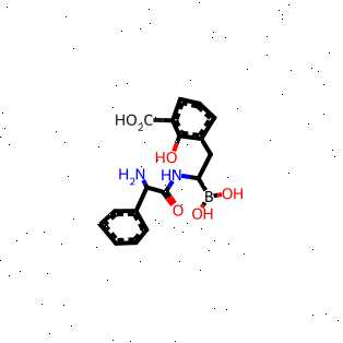 NC(C(=O)NC(Cc1cccc(C(=O)O)c1O)B(O)O)c1ccccc1